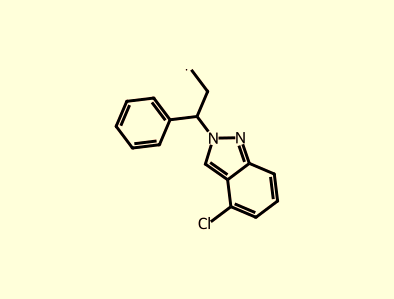 [CH2]CC(c1ccccc1)n1cc2c(Cl)cccc2n1